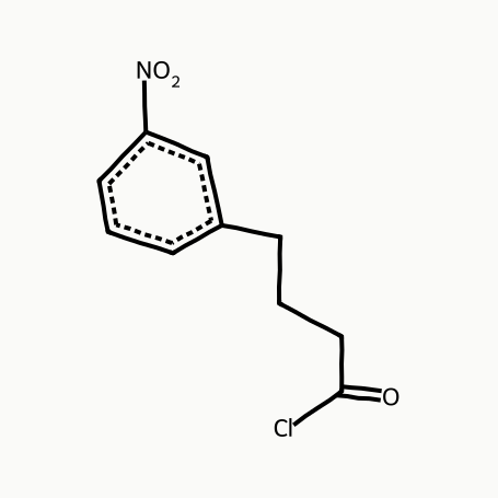 O=C(Cl)CCCc1cccc([N+](=O)[O-])c1